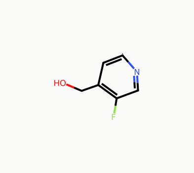 OCc1c[c]ncc1F